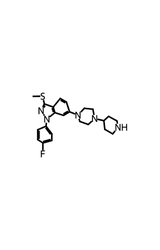 CSc1nn(-c2ccc(F)cc2)c2cc(N3CCN(C4CCNCC4)CC3)ccc12